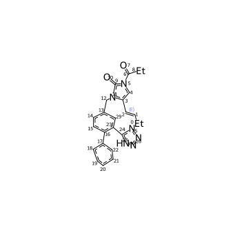 CC/C=C/c1cn(C(=O)CC)c(=O)n1Cc1ccc(-c2ccccc2)c(-c2nnn[nH]2)c1